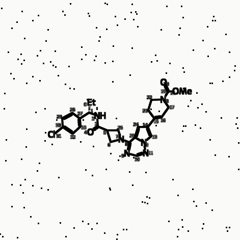 CC[C@H](NC(=O)C1CN(c2ncnn3cc(C4=CCN(C(=O)OC)CC4)cc23)C1)c1ccc(Cl)cc1